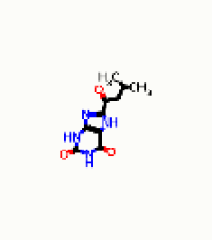 CC(C)CC(=O)c1nc2[nH]c(=O)[nH]c(=O)c2[nH]1